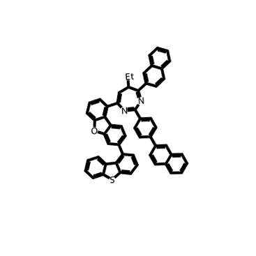 CCC1C=C(c2cccc3oc4cc(-c5cccc6sc7ccccc7c56)ccc4c23)N=C(c2ccc(-c3ccc4ccccc4c3)cc2)N=C1c1ccc2ccccc2c1